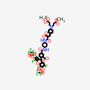 COC(=O)CCN(CCC(=O)OC)c1ccc2cc(C(=O)N[C@H]3CC[C@H](NC(=O)c4ccc5c(c4)C(=O)OC54c5cc(F)c(OS(=O)(=O)C(F)(F)F)c(F)c5Oc5c4cc(F)c(OS(=O)(=O)C(F)(F)F)c5F)CC3)c(=O)oc2c1